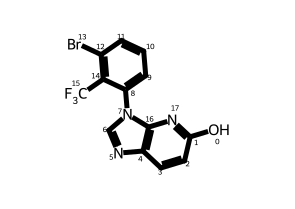 Oc1ccc2ncn(-c3cccc(Br)c3C(F)(F)F)c2n1